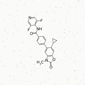 Cn1c(=O)oc2cc(C3CC3)c(-c3ccc(C(=O)Nc4c(F)cncc4F)cc3)cc21